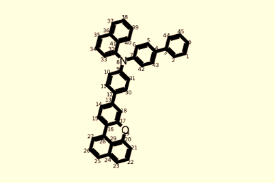 c1ccc(-c2ccc(N(c3ccc(-c4ccc5c(c4)Oc4cccc6cccc-5c46)cc3)c3cccc4ccccc34)cc2)cc1